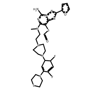 CN(CCN1CCN(C2C=C(N3CCSCC3)C(F)=CC2F)CC1)c1nc(N)n2nc(-c3ccco3)nc2c1SC=O